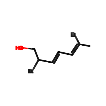 CC/C(C)=C\C=C\C(CC)CO